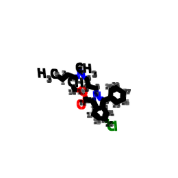 CCCCN(C)CCCn1c(C(=O)OCC)c2ccc(Cl)cc2c1-c1ccccc1